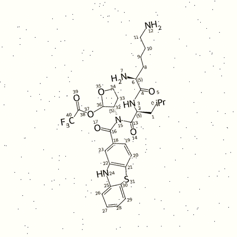 CC(C)C[C@H](NC(=O)[C@@H](N)CCCCN)C(=O)N(C(=O)c1ccc2c(c1)Nc1ccccc1S2)[C@H]1CCOC1OC(=O)C(F)(F)F